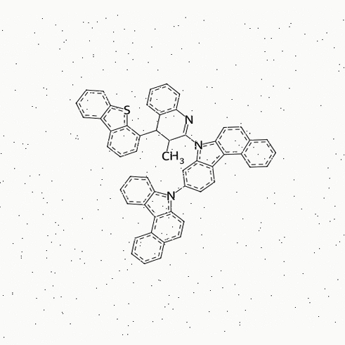 CC1C(n2c3cc(-n4c5ccccc5c5c6ccccc6ccc54)ccc3c3c4ccccc4ccc32)=Nc2ccccc2C1c1cccc2c1sc1ccccc12